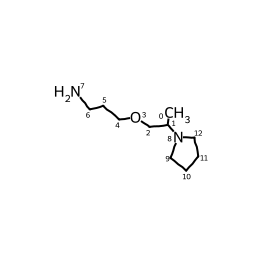 CC(COCCCN)N1CCCC1